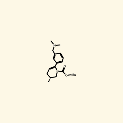 C[C@H]1CC=C(c2cccc(CN(C)C)c2)N(C(=O)OC(C)(C)C)C1